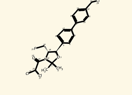 CC1(C)O[C@H](c2ccc(-c3ccc(CCl)cc3)cc2)[C@@H](CF)N1C(=O)C(Cl)Cl